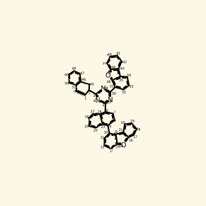 C1=CC(c2nc(-c3ccc(-c4cccc5oc6ccccc6c45)c4ccccc34)nc(-c3cccc4c3oc3ccccc34)n2)Cc2ccccc21